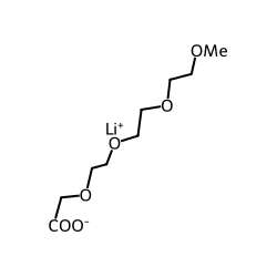 COCCOCCOCCOCC(=O)[O-].[Li+]